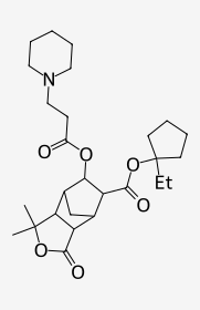 CCC1(OC(=O)C2C3CC(C2OC(=O)CCN2CCCCC2)C2C3C(=O)OC2(C)C)CCCC1